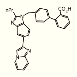 CCCc1nc2cc(-c3cn4ccccc4n3)ccc2n1Cc1ccc(-c2ccccc2C(=O)O)cc1